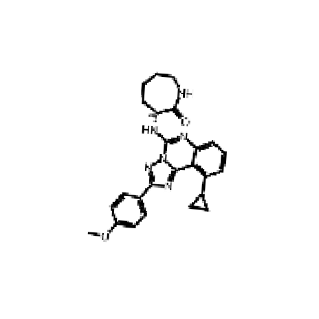 COc1ccc(-c2nc3c4c(C5CC5)cccc4nc(N[C@@H]4CCCCNC4=O)n3n2)cc1